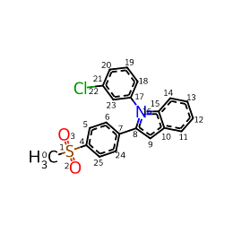 CS(=O)(=O)c1ccc(-c2cc3ccccc3n2-c2cccc(Cl)c2)cc1